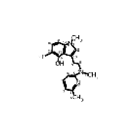 Cc1cccc(N(C)CCc2cn(C)c3ccc(F)c(O)c23)n1